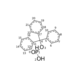 O=[PH](O)OC(c1ccccc1)(c1ccccc1)c1ccccc1